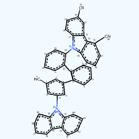 N#Cc1cc(-c2ccccc2-c2ccccc2-n2c3ccc(C#N)cc3c3c(C#N)cccc32)cc(-n2c3ccccc3c3ccccc32)c1